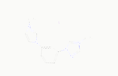 CCCC[n+]1ccn(-c2cccc(-n3c[n+](CCCC)cn3)c2)c1.[I-].[I-]